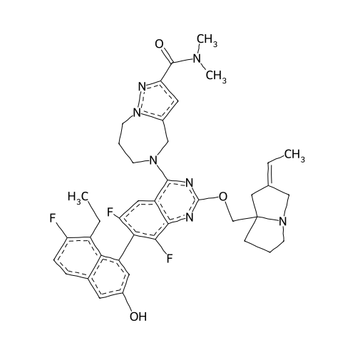 C/C=C1\CN2CCCC2(COc2nc(N3CCCn4nc(C(=O)N(C)C)cc4C3)c3cc(F)c(-c4cc(O)cc5ccc(F)c(CC)c45)c(F)c3n2)C1